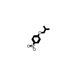 CC(C)[CH]Oc1ccc([N+](=O)[O-])cc1